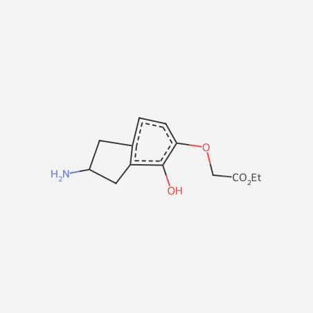 CCOC(=O)COc1ccc2c(c1O)CC(N)C2